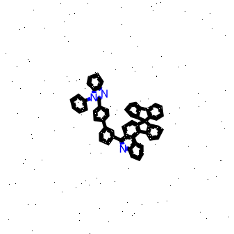 c1ccc(-n2c(-c3ccc(-c4cccc(-c5nc6ccccc6c6c7c(ccc56)C5(c6ccccc6-c6ccccc65)c5ccccc5-7)c4)cc3)nc3ccccc32)cc1